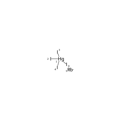 [I][Hg]([I])([I])[I].[Rb]